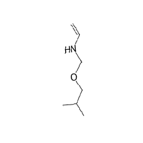 C=CNCOCC(C)C